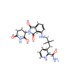 CC(C)(CNc1cccc2c1C(=O)N(C1CCC(=O)NC1=O)C2=O)Cc1cccnc1C(N)=O